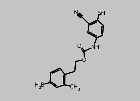 Bc1ccc(CCOC(=O)Nc2ccc(S)c(C#N)c2)c(C)c1